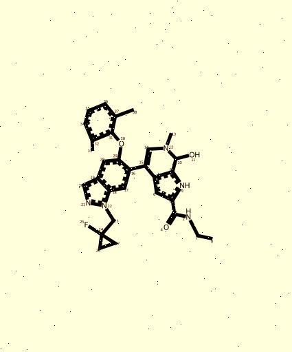 CCNC(=O)c1cc2c([nH]1)C(O)N(C)C=C2c1cc2c(cnn2CC2(F)CC2)cc1Oc1c(C)cccc1C